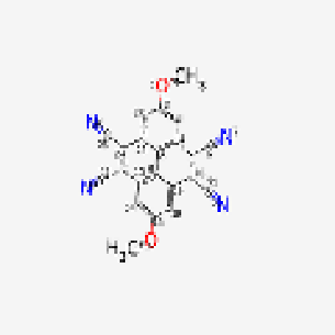 COc1cc(CC#N)c(-c2c(CC#N)cc(OC)cc2CC#N)c(CC#N)c1